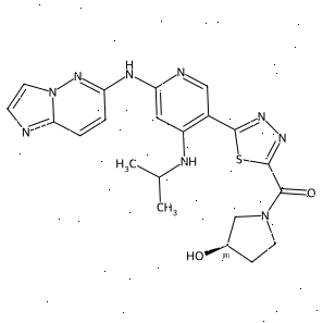 CC(C)Nc1cc(Nc2ccc3nccn3n2)ncc1-c1nnc(C(=O)N2CC[C@@H](O)C2)s1